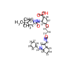 CC(C)(C)c1ccc(C(=O)Nc2cc(OCCCO/N=C/c3cn(Cc4ccccc4)c4ccccc34)ccc2C(=O)O)cc1